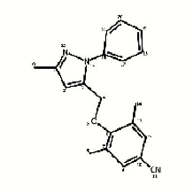 Cc1cc(COc2c(C)cc(C#N)cc2C)n(-c2ccccc2)n1